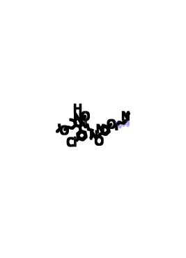 C=N/C=C\C=C(/C)Oc1ccc(C(=O)N(C)CCCN2C(=O)NC(C)=C(CCOC(C)C)C2c2cccc(Cl)c2)nc1